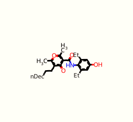 CCCCCCCCCCCCc1c(C)oc(C)c(C(=O)Nc2c(CC)cc(O)cc2CC)c1=O